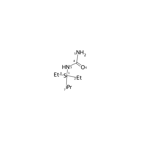 CC[Si](CC)(NC(N)=O)C(C)C